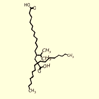 CCCCCCCCC(CCCCCCCC)(CC(CCCCCCCCCCCC(=O)O)C(C)C)C(=O)O